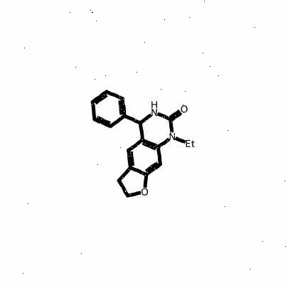 CCN1C(=O)NC(c2ccccc2)c2cc3c(cc21)OCC3